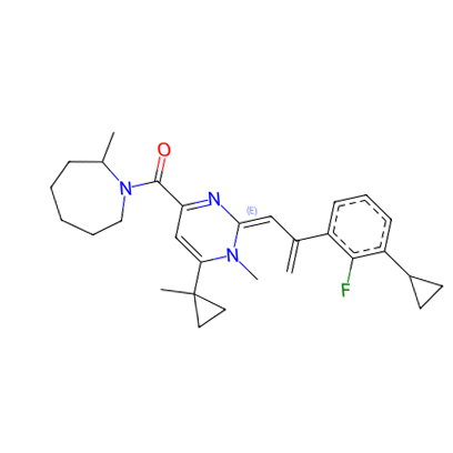 C=C(/C=C1/N=C(C(=O)N2CCCCCC2C)C=C(C2(C)CC2)N1C)c1cccc(C2CC2)c1F